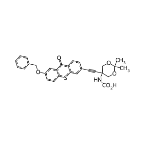 CC1(C)OCC(C#Cc2ccc3c(=O)c4cc(OCc5ccccc5)ccc4sc3c2)(NC(=O)O)CO1